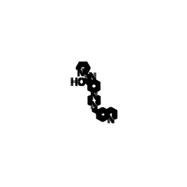 Oc1c2c(nn1-c1ccccn1)CCC(N1CCN(Cc3ccc4ncccc4c3)CC1)C2